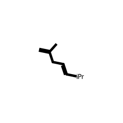 C=C(C)CC=CC(C)C